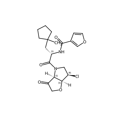 CC1(C[C@H](NC(=O)c2ccoc2)C(=O)N2C[C@@H](Cl)[C@H]3OCC(=O)[C@H]32)CCCC1